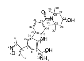 Cc1noc(C)c1-c1cc([C@H](N)O)c2[nH]c3cc(C(=O)N4C(C)(C)CC(O)CC4(C)C)ccc3c2c1